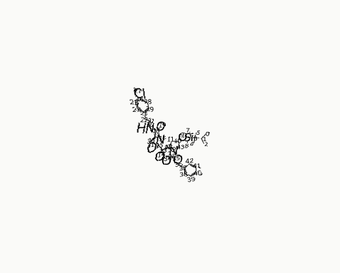 CC(C)C(C)(C)[Si](C)(C)OC1C[C@H](C(=O)c2nc(C(=O)NCCc3ccc(Cl)cc3)co2)N(C(=O)OCc2ccccc2)C1